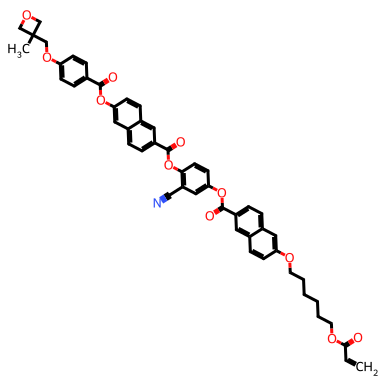 C=CC(=O)OCCCCCCOc1ccc2cc(C(=O)Oc3ccc(OC(=O)c4ccc5cc(OC(=O)c6ccc(OCC7(C)COC7)cc6)ccc5c4)c(C#N)c3)ccc2c1